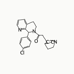 O=C(CC1CN2CCC1CC2)N1CCc2cccnc2C1c1ccc(Cl)cc1